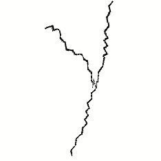 CCCCCCCCCCCCCCCN(CCCCCCCCCCCCCCC)CCCCCCCCCCCCCCC